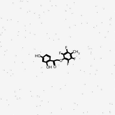 Cc1c(F)c(F)c(OCC(=O)c2ccc(O)cc2O)c(F)c1F